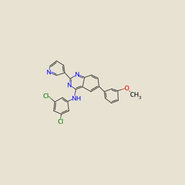 COc1cccc(-c2ccc3nc(-c4cccnc4)nc(Nc4cc(Cl)cc(Cl)c4)c3c2)c1